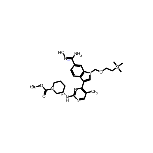 CC(C)(C)OC(=O)N1CCC[C@H](Nc2ncc(C(F)(F)F)c(-c3cn(COCC[Si](C)(C)C)c4cc(/C(N)=N/O)ccc34)n2)C1